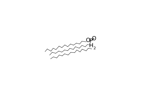 CCCCCCCCCCCCCCC.CCCCCCCCCCCCCCC.CCCCCCCCCCCCCCCO[PH2]=O